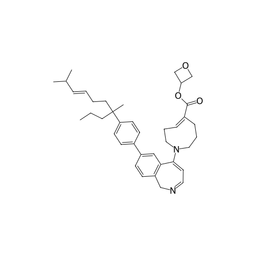 CCCC(C)(CC/C=C/C(C)C)c1ccc(-c2ccc3c(c2)C(N2CC/C=C(\C(=O)OC4COC4)CCC2)=CC=NC3)cc1